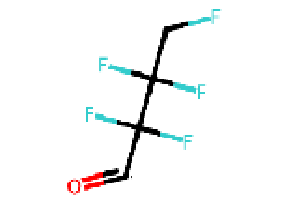 O=[C]C(F)(F)C(F)(F)CF